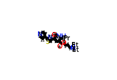 CCN(CC)CCCOC(=O)c1cc(-c2csc(-c3ccncc3)n2)c(=O)[nH]c1C(C)C